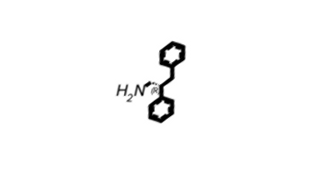 NC[C@H](Cc1ccccc1)c1ccccc1